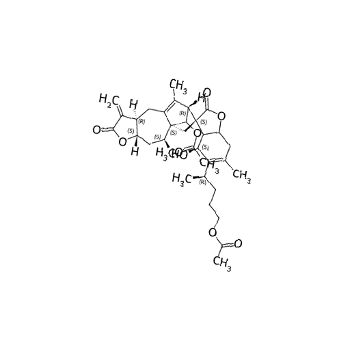 C=C1C(=O)O[C@H]2C[C@H](C)[C@@]34C[C@]5(C(=O)OC6CC(C)=C([C@H](C)CCCOC(C)=O)[C@@H](O)C65)[C@@H](C(C)=C3C[C@H]12)C4OC(C)=O